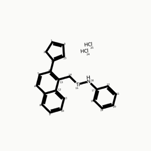 C1=CCC(c2ccc3ccccc3c2[CH2][Ti][NH]c2ccccc2)=C1.Cl.Cl